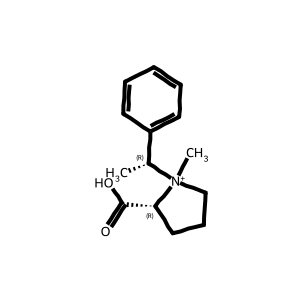 C[C@H](c1ccccc1)[N+]1(C)CCC[C@@H]1C(=O)O